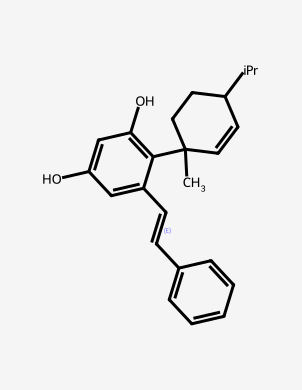 CC(C)C1C=CC(C)(c2c(O)cc(O)cc2/C=C/c2ccccc2)CC1